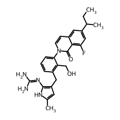 CCC(C)c1cc(F)c2c(=O)n(-c3cccc(Cc4cc(C)[nH]c4N=C(N)N)c3CO)ccc2c1